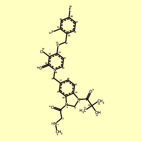 CNCC(=O)N1CN(C(=O)C(C)(C)O)c2ccc(Cn3ccc(OCc4ccc(F)cc4F)c(Cl)c3=O)cc21